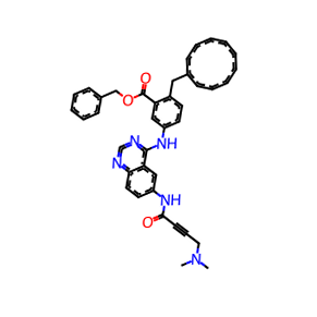 CN(C)CC#CC(=O)Nc1ccc2ncnc(Nc3ccc(Cc4ccccccccc4)c(C(=O)OCc4ccccc4)c3)c2c1